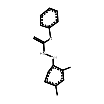 C=C(NNc1ccc(C)cc1C)Oc1ccccc1